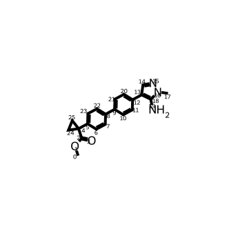 COC(=O)C1(c2ccc(-c3ccc(-c4cnn(C)c4N)cc3)cc2)CC1